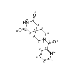 O=C1CC2(CCN(C(=O)c3cnccn3)CC2)CC(=O)N1